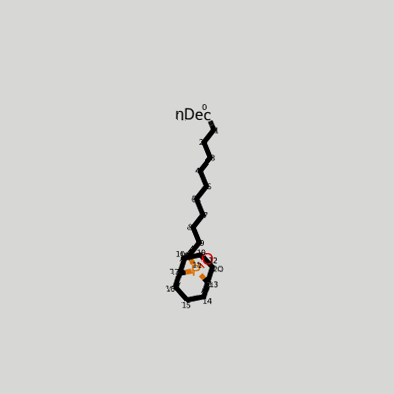 CCCCCCCCCCCCCCCCCCCCP1(=O)C2CCCC1CCC2